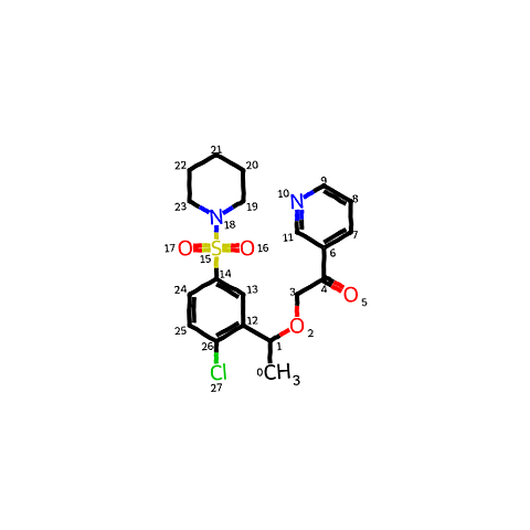 CC(OCC(=O)c1cccnc1)c1cc(S(=O)(=O)N2CCCCC2)ccc1Cl